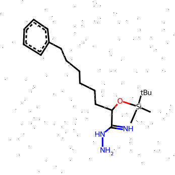 CC(C)(C)[Si](C)(C)OC(CCCCCCc1ccccc1)C(=N)NN